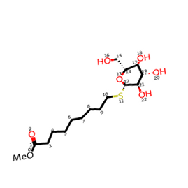 COC(=O)CCCCCCCCS[C@@H]1O[C@H](CO)[C@@H](O)[C@H](O)[C@H]1O